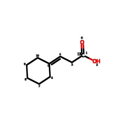 O=[13C](O)CC=C1CCCCC1